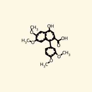 COc1ccc(-c2c(C(=O)O)cc(O)c3cc(OC)c(OC)cc23)cc1OC